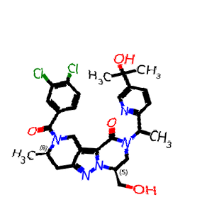 CC(c1ccc(C(C)(C)O)cn1)N1C[C@@H](CO)n2nc3c(c2C1=O)CN(C(=O)c1ccc(Cl)c(Cl)c1)[C@H](C)C3